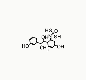 CC(c1cccc(O)c1)C(O)C1C=CC(O)=CC1=NP(=O)(O)O